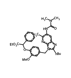 CCCCc1nc2cc(NC(=O)N(C)C)c(C)nc2n1Cc1ccc(OC(C(=O)OCC)c2ccccc2)c(OC)c1